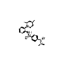 CC1CCN(c2ccccc2N[S+]([O-])c2ccc([S+]([O-])N(C)C)cc2)C(C)C1